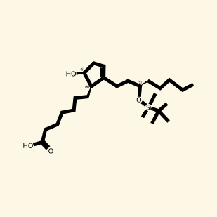 CCCCC[C@@H](CCC1=CC[C@H](O)[C@@H]1CCCCCCC(=O)O)O[Si](C)(C)C(C)(C)C